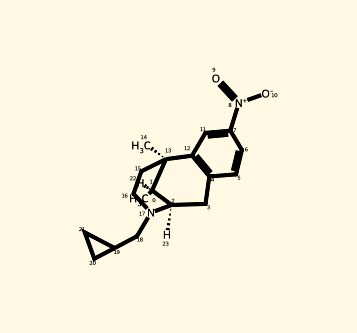 C[C@@H]1[C@H]2Cc3ccc([N+](=O)[O-])cc3[C@]1(C)CCN2CC1CC1